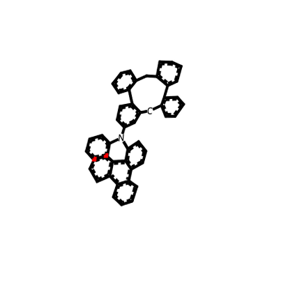 c1ccc(N(c2ccc3c(c2)Cc2ccccc2-c2ccccc2Cc2ccccc2-3)c2cccc3c4ccccc4c4ccccc4c23)cc1